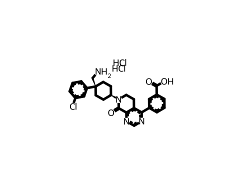 Cl.Cl.NC[C@]1(c2cccc(Cl)c2)CC[C@H](N2CCc3c(ncnc3-c3cccc(C(=O)O)c3)C2=O)CC1